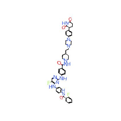 O=C1CCC(c2ccc(N3CCN(CCC4CCN(NC(=O)c5ccc(Nc6ncc(F)c(Nc7ccc(NC(=O)c8ccccc8F)cc7)n6)cc5)CC4)CC3)cc2)C(=O)N1